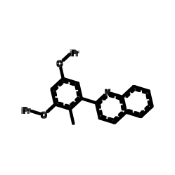 Cc1c(OC(C)C)cc(OC(C)C)cc1-c1ccc2ccccc2n1